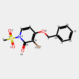 CS(=O)(=O)n1ccc(OCc2ccccc2)c(Br)c1=O